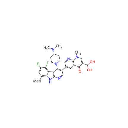 CNc1cc(F)c(F)c2c1[nH]c1ncc(-c3cnc4c(c3)c(=O)c(C(O)O)cn4C)c(N3CCC(N(C)C)CC3)c12